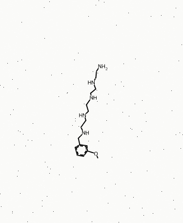 COc1cccc(CNCCNCCNCCNCCN)c1